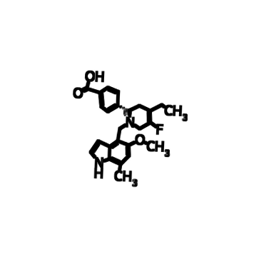 CCC1=C(F)CN(Cc2c(OC)cc(C)c3[nH]ccc23)[C@H](c2ccc(C(=O)O)cc2)C1